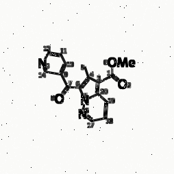 COC(=O)c1c(C)c(C(=O)c2cccnc2)n2ncccc12